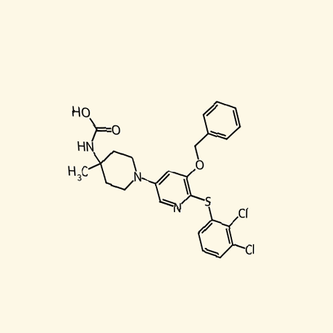 CC1(NC(=O)O)CCN(c2cnc(Sc3cccc(Cl)c3Cl)c(OCc3ccccc3)c2)CC1